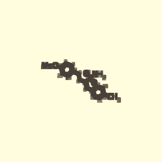 COc1ccc(CCC(=Cc2ncc(C)cn2)S(N)(=O)=O)cc1